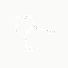 CC(C)(C)[n+]1ccoc1C(=O)[O-]